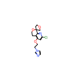 Clc1cc(OCCn2ccnc2)c2c(n1)C1(CCOC1)OCC2